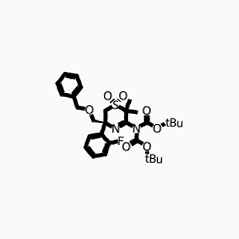 CC(C)(C)OC(=O)N(C(=O)OC(C)(C)C)C1=N[C@](COCc2ccccc2)(c2ccccc2F)CS(=O)(=O)C1(C)C